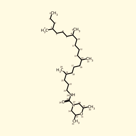 CCCC(C)CCCC(C)CCCCC(C)CCCC(C)CCCNC(=O)N1CC(C)OC(C)C1